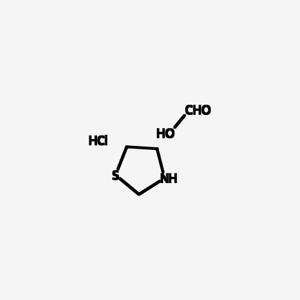 C1CSCN1.Cl.O=CO